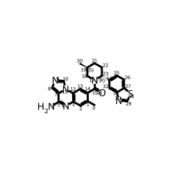 Cc1cc2nc(N)c3cncn3c2cc1C(=O)N1C[C@@H](C)CC[C@@H]1c1ccc2scnc2c1